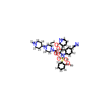 CCOc1ncccc1C1(OC(=O)N2CCN(C3CCN(C)CC3)CC2)C(=O)N(S(=O)(=O)c2ccccc2OC)c2ccc(C#N)cc21